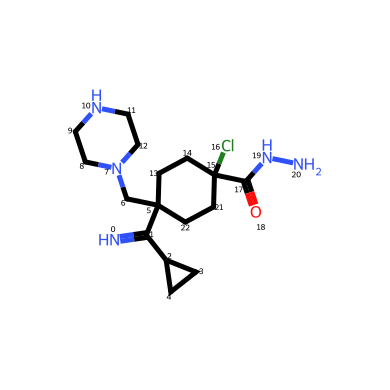 N=C(C1CC1)C1(CN2CCNCC2)CCC(Cl)(C(=O)NN)CC1